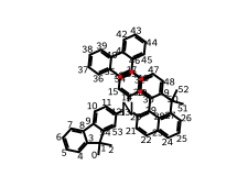 CC1(C)c2ccccc2-c2ccc(N(c3ccccc3)c3ccc4cccc5c4c3-c3cc(-c4cc6ccccc6c6ccccc46)ccc3C5(C)C)cc21